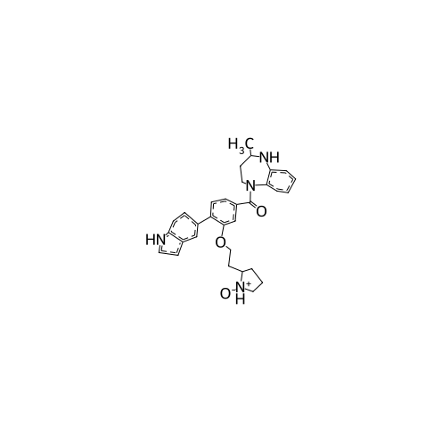 CC1CCN(C(=O)c2ccc(-c3ccc4[nH]ccc4c3)c(OCCC3CCC[NH+]3[O-])c2)c2ccccc2N1